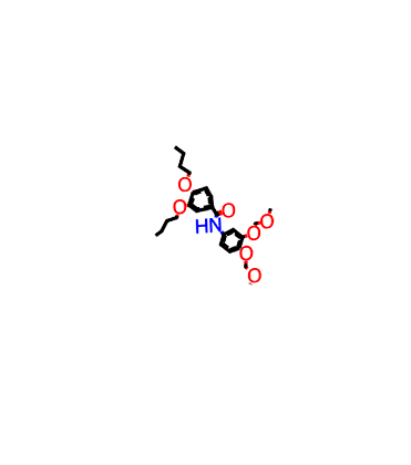 CCCCOc1ccc(C(=O)Nc2ccc(OCOC)c(OCOC)c2)cc1OCCCC